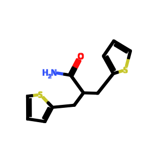 NC(=O)C(Cc1cccs1)Cc1cccs1